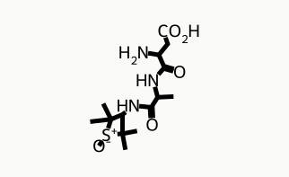 CC(NC(=O)C(N)CC(=O)O)C(=O)NC1C(C)(C)[S+]([O-])C1(C)C